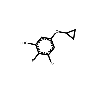 O=Cc1cc(OC2CC2)cc(Br)c1F